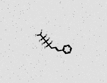 FC(F)C(F)(F)C(F)(F)C(F)(F)CC=Cc1ccccc1